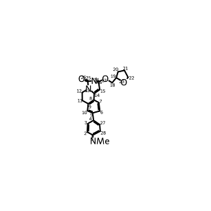 CNc1ccc(-c2ccc3c(c2)CCn2c-3cc(OCC3CCCO3)nc2=O)cc1